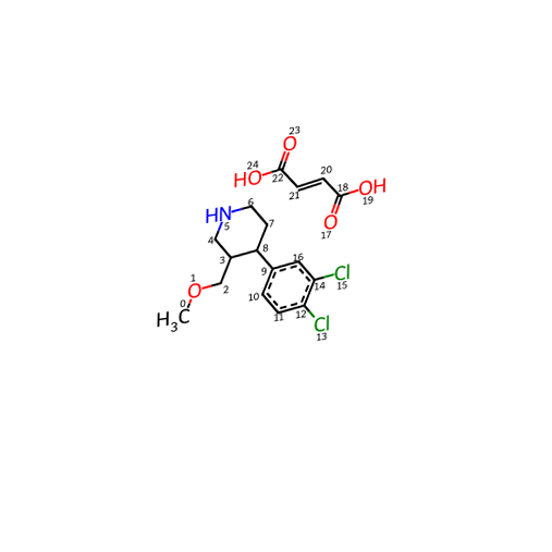 COCC1CNCCC1c1ccc(Cl)c(Cl)c1.O=C(O)C=CC(=O)O